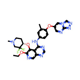 CCOc1ncc2ncnc(Nc3ccc(Oc4cnc5nncn5c4)c(C)c3)c2c1O[C@H]1CCN(C)CC1(F)F